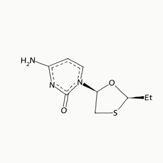 CC[C@@H]1O[C@H](n2ccc(N)nc2=O)CS1